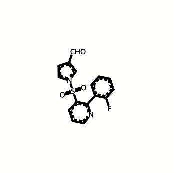 O=Cc1ccn(S(=O)(=O)c2cccnc2-c2ccccc2F)c1